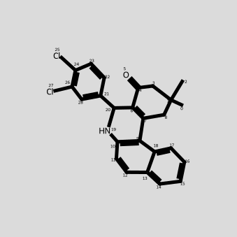 CC1(C)CC(=O)C2=C(C1)c1c(ccc3ccccc13)NC2c1ccc(Cl)c(Cl)c1